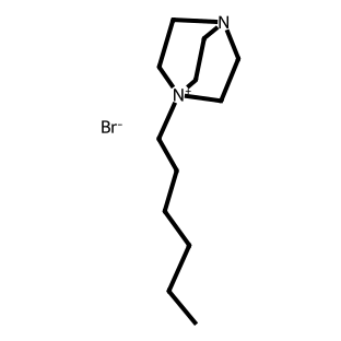 CCCCCC[N+]12CCN(CC1)CC2.[Br-]